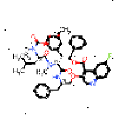 C=CCOC(=O)N(C)[C@@H](CC(C)C)C(=O)N(C)[C@H](Cc1ccccc1)C(=O)N[C@@H](COc1cnc2ccc(F)cc2c1C(=O)OCc1ccccc1)Cc1ccccc1